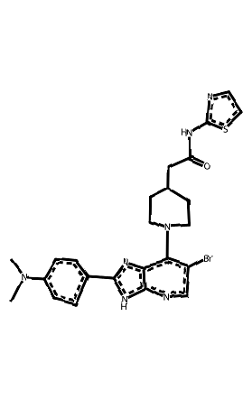 CN(C)c1ccc(-c2nc3c(N4CCC(CC(=O)Nc5nccs5)CC4)c(Br)cnc3[nH]2)cc1